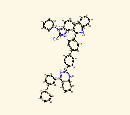 CCc1nc2c3c(-c4ccc(-c5ccc(-c6nc(-c7cccc(-c8ccccc8)c7)c7ccccc7n6)cc5)cc4)nc4ccccc4c3ccc2n1-c1ccccc1